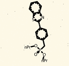 CCCOP(=O)(Cc1ccc(-c2nc3ccccc3s2)cc1)OCCC